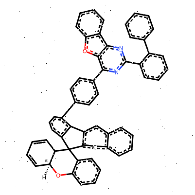 C1=CC2[C@H](C=C1)Oc1ccccc1C21c2cc3ccccc3cc2-c2c(-c3ccc(-c4nc(-c5ccccc5-c5ccccc5)nc5c4oc4ccccc45)cc3)cccc21